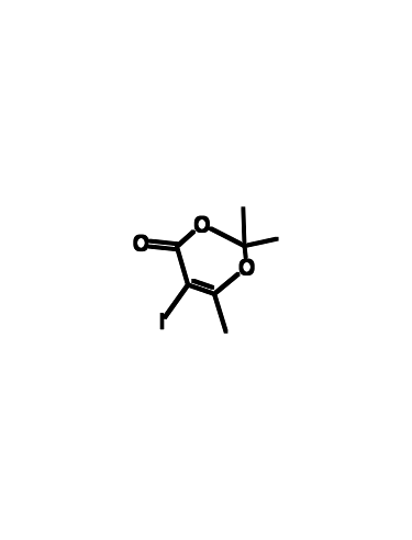 CC1=C(I)C(=O)OC(C)(C)O1